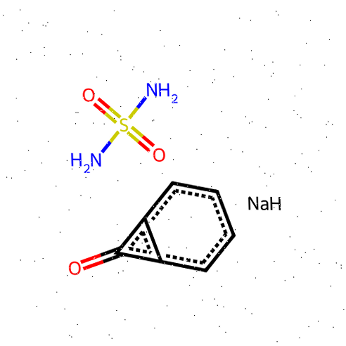 NS(N)(=O)=O.O=c1c2ccccc12.[NaH]